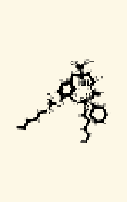 CCCCCOC(=O)Oc1ccc(CC(N)(C[C@H](C)OC(=O)OC2CCCCC2)C(=O)O)cc1OC(=O)OCCCCC